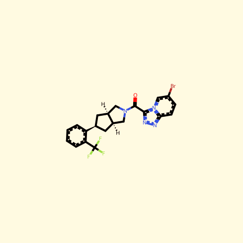 O=C(c1nnc2ccc(Br)cn12)N1C[C@H]2C[C@@H](c3ccccc3C(F)(F)F)C[C@H]2C1